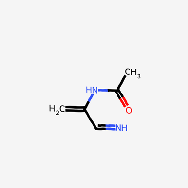 C=C(C=N)NC(C)=O